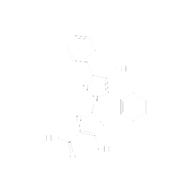 Cc1sc(-n2nc(-c3ccccc3)c(C)c2-c2ccccc2)nc1C(=O)O